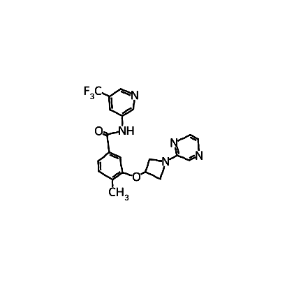 Cc1ccc(C(=O)Nc2cncc(C(F)(F)F)c2)cc1OC1CN(c2cnccn2)C1